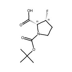 CC(C)(C)OC(=O)N1CC[C@@H](F)[C@H]1C(=O)O